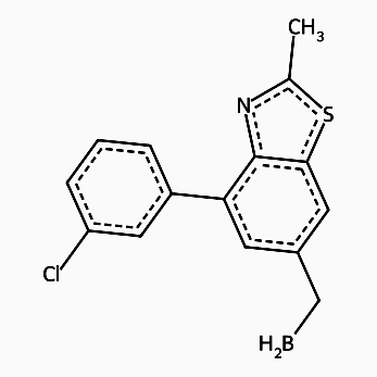 BCc1cc(-c2cccc(Cl)c2)c2nc(C)sc2c1